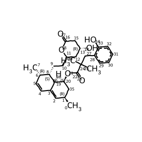 C[C@H]1C=C2C=C[C@H](C)[C@H](CC[C@@H]3C[C@@H](O)CC(=O)O3)[C@H]2[C@@H](OC(=O)C(C)(C)Cc2ccccc2O)C1